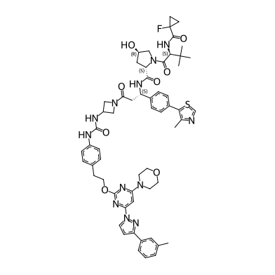 Cc1cccc(-c2ccn(-c3cc(N4CCOCC4)nc(OCCc4ccc(NC(=O)NC5CN(C(=O)C[C@H](NC(=O)[C@@H]6C[C@@H](O)CN6C(=O)[C@@H](NC(=O)C6(F)CC6)C(C)(C)C)c6ccc(-c7scnc7C)cc6)C5)cc4)n3)n2)c1